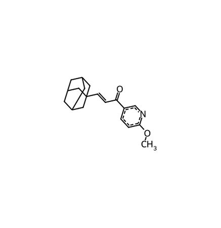 COc1ccc(C(=O)C=CC23CC4CC(CC(C4)C2)C3)cn1